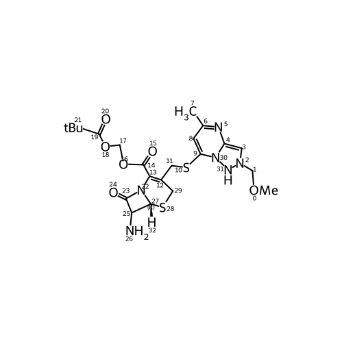 COCN1C=C2N=C(C)C=C(SCC3=C(C(=O)OCOC(=O)C(C)(C)C)N4C(=O)C(N)[C@H]4SC3)N2N1